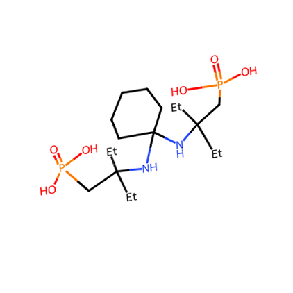 CCC(CC)(CP(=O)(O)O)NC1(NC(CC)(CC)CP(=O)(O)O)CCCCC1